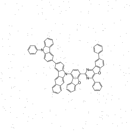 c1ccc(-c2ccc3oc4c(-c5ccccc5)nc(-c5ccc(-n6c7ccc(-c8ccc9c(c8)c8ccccc8n9-c8ccccc8)cc7c7cc8ccccc8cc76)c6c5oc5ccccc56)nc4c3c2)cc1